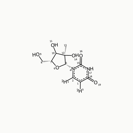 [2H]c1c([2H])n([C@@H]2O[C@H](CO)C(O)[C@@]2(C)O)c(=O)[nH]c1=O